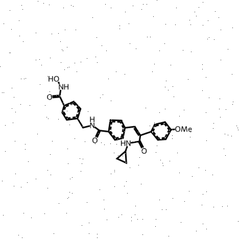 COc1ccc(C(=Cc2ccc(C(=O)NCc3ccc(C(=O)NO)cc3)cc2)C(=O)NC2CC2)cc1